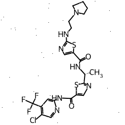 C[C@@H](NC(=O)c1cnc(NCCN2CCCC2)s1)c1ncc(C(=O)Nc2cc(C(F)(F)F)c(Cl)cn2)s1